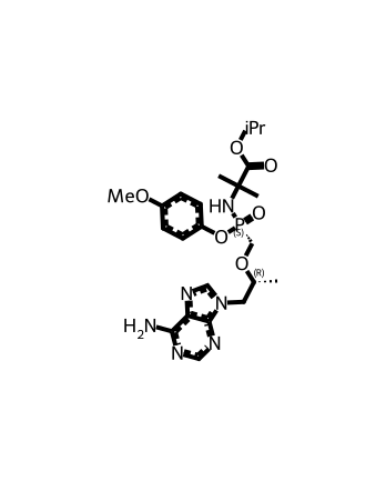 COc1ccc(O[P@@](=O)(CO[C@H](C)Cn2cnc3c(N)ncnc32)NC(C)(C)C(=O)OC(C)C)cc1